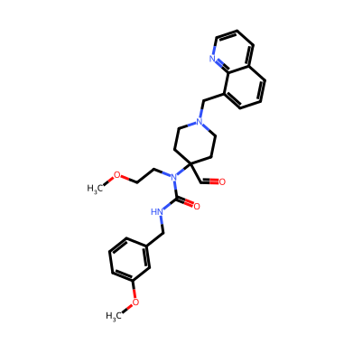 COCCN(C(=O)NCc1cccc(OC)c1)C1(C=O)CCN(Cc2cccc3cccnc23)CC1